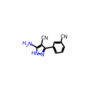 N#Cc1cccc(-c2n[nH]c(N)c2C#N)c1